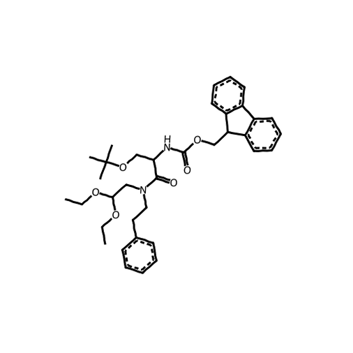 CCOC(CN(CCc1ccccc1)C(=O)C(COC(C)(C)C)NC(=O)OCC1c2ccccc2-c2ccccc21)OCC